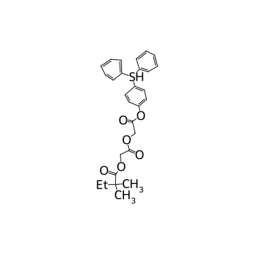 CCC(C)(C)C(=O)OCC(=O)OCC(=O)Oc1ccc([SH](c2ccccc2)c2ccccc2)cc1